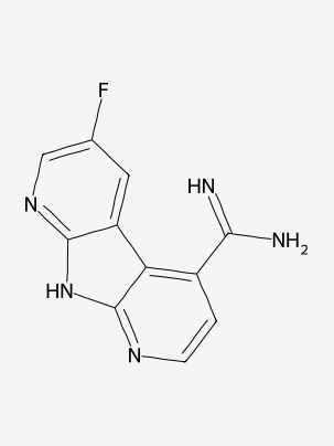 N=C(N)c1ccnc2[nH]c3ncc(F)cc3c12